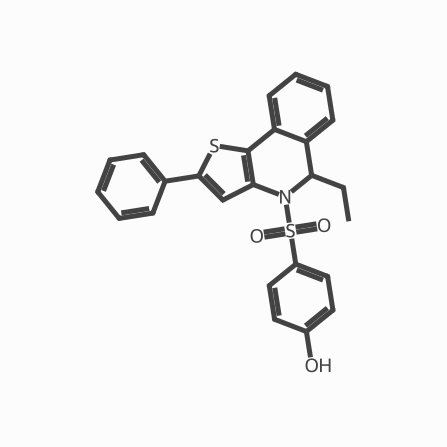 CCC1c2ccccc2-c2sc(-c3ccccc3)cc2N1S(=O)(=O)c1ccc(O)cc1